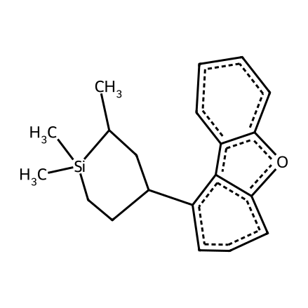 CC1CC(c2cccc3oc4ccccc4c23)CC[Si]1(C)C